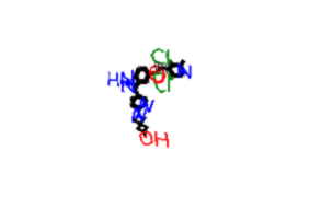 Cc1ncc(Cl)c([C@@H](C)Oc2ccc3[nH]nc(-c4ccc(N5CC6(CC(O)C6)C5)nc4)c3c2)c1Cl